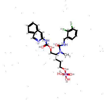 CN(C(=O)NCc1cccc(F)c1F)[C@H](CCCOP(=O)(O)O)COC(=O)Nc1cc2ccccc2cn1